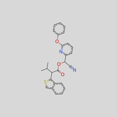 CC(C)C(C(=O)OC(C#N)c1cccc(Oc2ccccc2)n1)c1scc2ccccc12